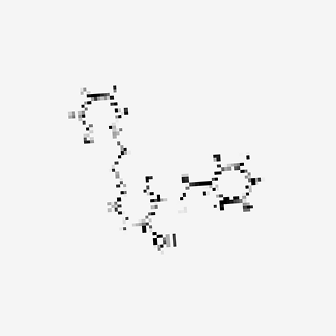 Oc1ccc(CCc2ccccc2)cc1CCc1ccccc1